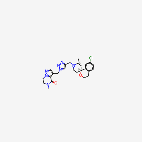 C[C@H]1C[C@@]2(CCN1Cc1cn(Cc3cnn4c3C(=O)N(C)CC4)nn1)OCCc1ccc(Cl)cc12